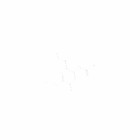 COc1nc(C(=O)CF)c(NC(=O)O)cc1F